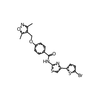 Cc1noc(C)c1COc1ccc(C(=O)Nc2nc(-c3ccc(Br)s3)cs2)cc1